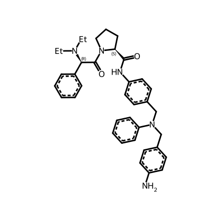 CCN(CC)[C@@H](C(=O)N1CCC[C@H]1C(=O)Nc1ccc(CN(Cc2ccc(N)cc2)c2ccccc2)cc1)c1ccccc1